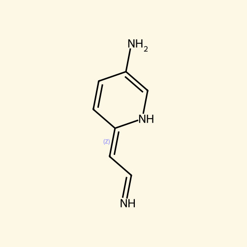 N=C/C=C1/C=CC(N)=CN1